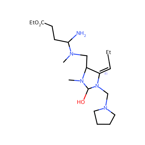 CC/C=C1\C(CN(C)C(N)CCC(=O)OCC)N(C)C(O)N1CN1CCCC1